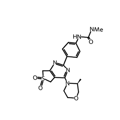 CNC(=O)Nc1ccc(-c2nc3c(c(N4CCOC[C@@H]4C)n2)CS(=O)(=O)C3)cc1